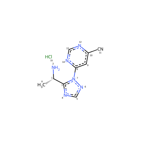 C[C@H](N)c1ncnn1-c1cc(C#N)ncn1.Cl